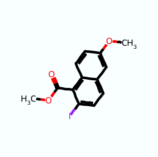 COC(=O)c1c(I)ccc2cc(OC)ccc12